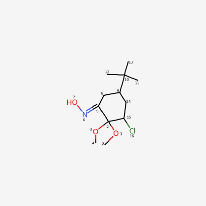 COC1(OC)C(=NO)CC(C(C)(C)C)CC1Cl